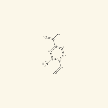 CC(=O)c1ccc(C=O)c(N)c1